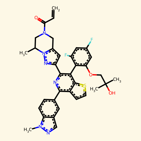 C=CC(=O)N1Cc2cc(-c3nc(-c4ccc5c(cnn5C)c4)c4ccsc4c3-c3c(F)cc(F)cc3OCC(C)(C)O)nn2C(C)C1